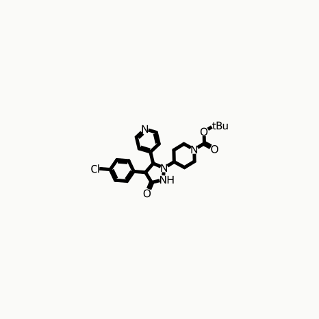 CC(C)(C)OC(=O)N1CCC(N2NC(=O)C(c3ccc(Cl)cc3)C2c2ccncc2)CC1